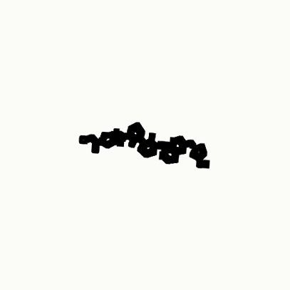 Cc1c(Nc2nccc3cc(CN4CCC(O)C4)cnc23)cccc1-c1cccc(-c2nc3c(s2)CN(C(=O)CCl)C3)c1C